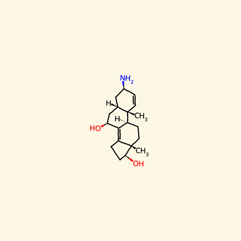 C[C@]12C=C[C@H](N)C[C@H]1C[C@H](O)C1=C3CC[C@H](O)[C@@]3(C)CC[C@@H]12